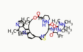 CCn1c(-c2cccnc2[C@H](C)OC)c2c3cc(ccc31)-c1csc(n1)C[C@H](NC(=O)C(C(C)C)N(C)C(=O)N(C)N(C)C)C(=O)N1CCC[C@H](N1)C(=O)OCC(C)(C)C2